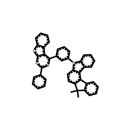 CC1(C)c2ccccc2-c2c1ccc1c2c2ccccc2n1-c1cccc(-c2nc(-c3ccccc3)nc3sc4ccccc4c23)c1